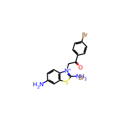 Nc1ccc2c(c1)sc(N)[n+]2CC(=O)c1ccc(Br)cc1.[Br-]